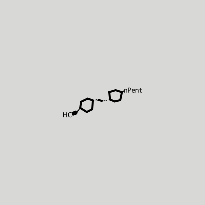 C#C[C@H]1CC[C@H](CC[C@H]2CC[C@H](CCCCC)CC2)CC1